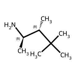 C[C@@H](N)[C@H](C)C(C)(C)C